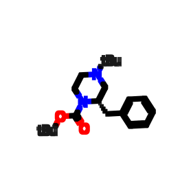 CC(C)(C)OC(=O)N1CCN(C(C)(C)C)C[C@@H]1Cc1ccccc1